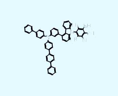 Bc1c(B)c(B)c(-n2c3ccccc3c3c(-c4cccc(N(c5ccc(-c6ccccc6)cc5)c5ccc(-c6ccc(-c7ccccc7)cc6)cc5)c4)cccc32)c(B)c1B